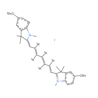 [2H]C(=CC1=[N+](C)c2ccc(OC)cc2C1(C)C)C([2H])=C([2H])C([2H])=C([2H])C=C1N(C)c2ccc(OC)cc2C1(C)C.[I-]